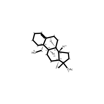 CC(=O)OC1(C)CC[C@H]2[C@@H]3CCC4=CCCC[C@]4(CO)[C@@H]3CC[C@@]21C